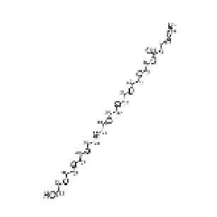 [N-]=[N+]=NCCC(=O)OCCOCCOCCOCCOCCOCCOCCOCCOCCO